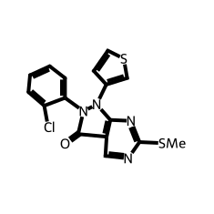 CSc1ncc2c(=O)n(-c3ccccc3Cl)n(-c3ccsc3)c2n1